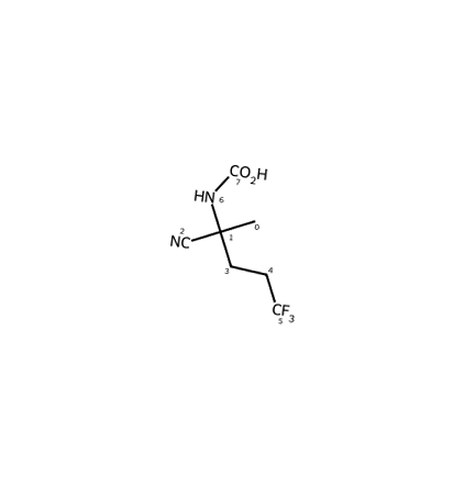 CC(C#N)(CCC(F)(F)F)NC(=O)O